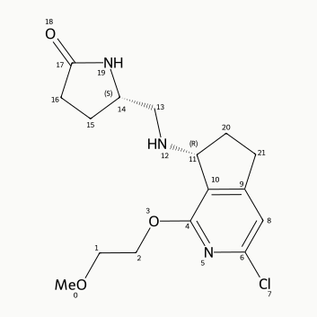 COCCOc1nc(Cl)cc2c1[C@H](NC[C@@H]1CCC(=O)N1)CC2